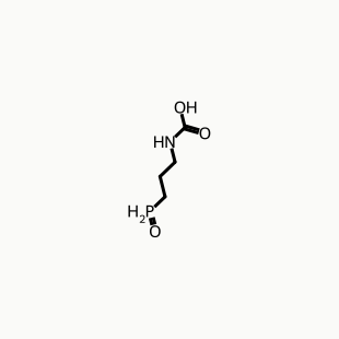 O=[PH2]CCCNC(=O)O